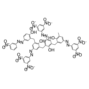 Cc1cc(N=Nc2cc([N+](=O)[O-])cc([N+](=O)[O-])c2)cc(Cc2cc(N=Nc3cc([N+](=O)[O-])cc([N+](=O)[O-])c3)cc(Cc3cc(N=Nc4cc([N+](=O)[O-])cc([N+](=O)[O-])c4)cc(Cc4cc(N=Nc5cccc([N+](=O)[O-])c5)ccc4O)c3O)c2O)c1O